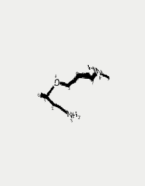 C=C(CN)OCCCNC